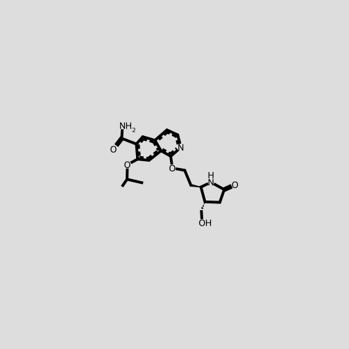 CC(C)Oc1cc2c(OCC[C@H]3NC(=O)C[C@@H]3CO)nccc2cc1C(N)=O